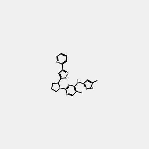 Cc1cc(Nc2nc(N3CCCC3c3cc(-c4ccccn4)no3)ncc2F)n[nH]1